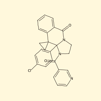 O=C(c1cccnc1)N1CCN2C(=O)c3ccccc3C3(CC3)C12c1ccc(Cl)cc1